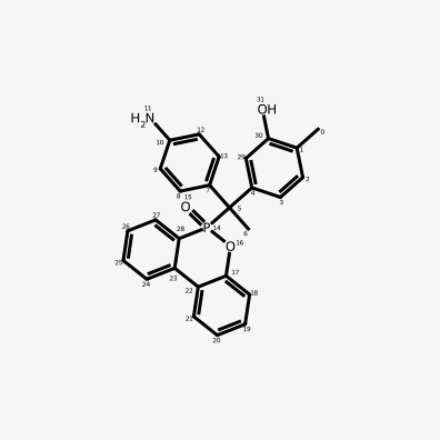 Cc1ccc(C(C)(c2ccc(N)cc2)P2(=O)Oc3ccccc3-c3ccccc32)cc1O